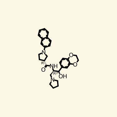 O=C(N[C@H](CN1CCCC1)[C@H](O)c1ccc2c(c1)OCCO2)[C@@H]1CCN(c2ccc3ccccc3c2)C1